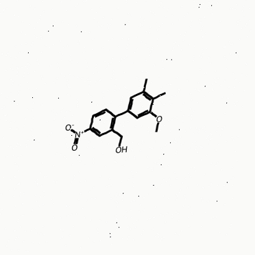 COc1cc(-c2ccc([N+](=O)[O-])cc2CO)cc(C)c1C